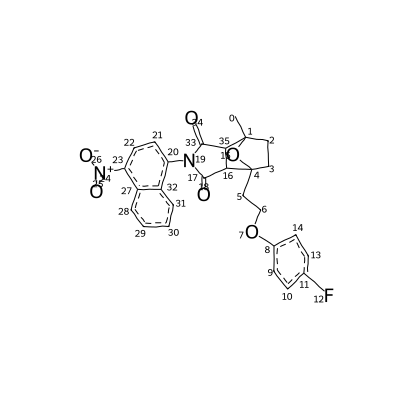 CC12CCC(CCOc3ccc(F)cc3)(O1)C1C(=O)N(c3ccc([N+](=O)[O-])c4ccccc34)C(=O)C12